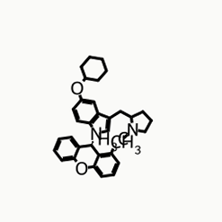 Cc1cccc2c1[C@@H](n1cc(CC3CCCN3C)c3cc(OC4CCCCC4)ccc31)c1ccccc1O2